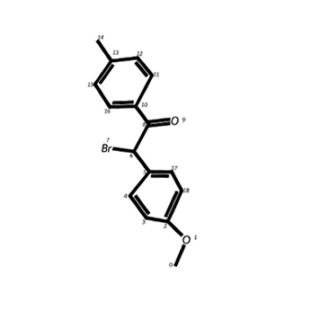 COc1ccc(C(Br)C(=O)c2ccc(C)cc2)cc1